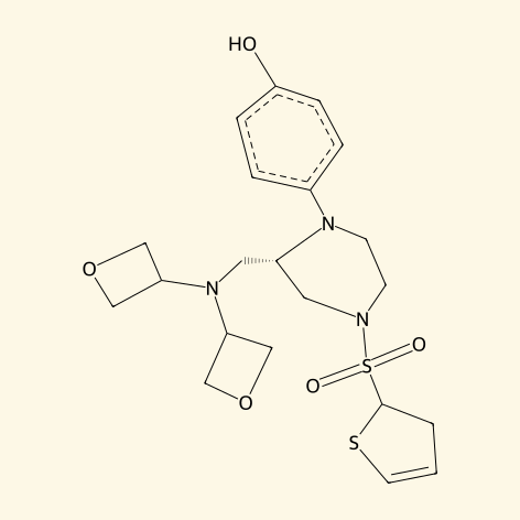 O=S(=O)(C1CC=CS1)N1CCN(c2ccc(O)cc2)[C@@H](CN(C2COC2)C2COC2)C1